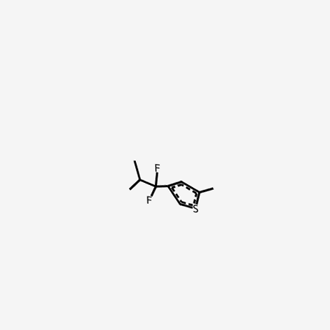 Cc1cc(C(F)(F)C(C)C)cs1